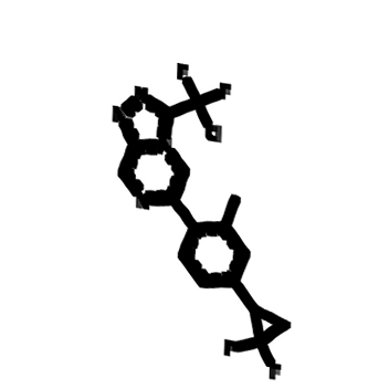 Cc1cc(C2CC2(F)F)ccc1-c1cn2c(C(F)(F)Cl)nnc2cn1